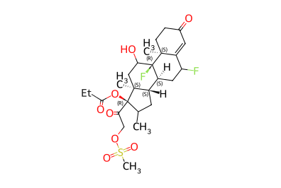 CCC(=O)O[C@]1(C(=O)COS(C)(=O)=O)C(C)C[C@H]2[C@@H]3CC(F)C4=CC(=O)CC[C@]4(C)[C@@]3(F)C(O)C[C@@]21C